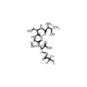 C[C@H](O)[C@H](N)C(=O)N[C@H](CO)C(=O)N[C@@H](CO)C(=O)N[C@@H](COC(=O)C(F)(F)F)C(=O)O